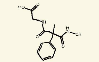 CC(C(=O)NO)(C(=O)NCC(=O)O)c1ccccc1